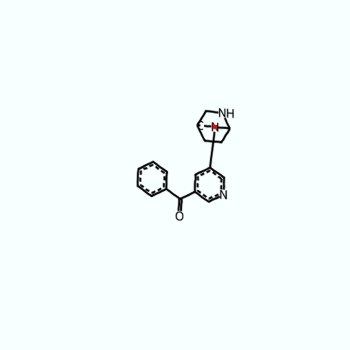 O=C(c1ccccc1)c1cncc(N2CC3CCC(C2)NC3)c1